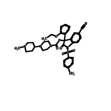 CCOc1ccccc1C1(OC(=O)N2CCN(C3CCN(C)CC3)CC2)C(=O)N(S(=O)(=O)c2ccc(C)cc2)c2ccc(C#N)cc21